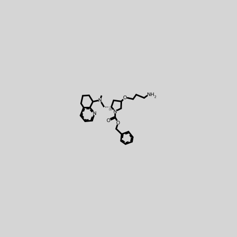 CN(C[C@@H]1CC(OCCCN)CN1C(=O)OCc1ccccc1)C1CCCc2cccnc21